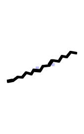 C=CCCCC/C=C/C/C=C/CCCCC